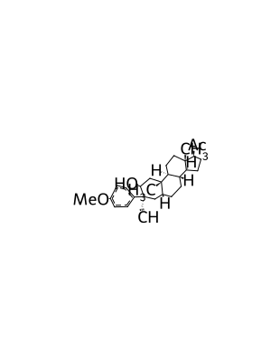 C#C[C@@]1(c2ccc(OC)cc2)C[C@H]2CC[C@@H]3[C@H](CC[C@]4(C)[C@@H](C(C)=O)CC[C@@H]34)[C@@]2(C)CC1O